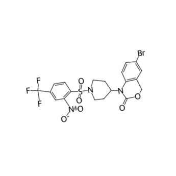 O=C1OCc2cc(Br)ccc2N1C1CCN(S(=O)(=O)c2ccc(C(F)(F)F)cc2[N+](=O)[O-])CC1